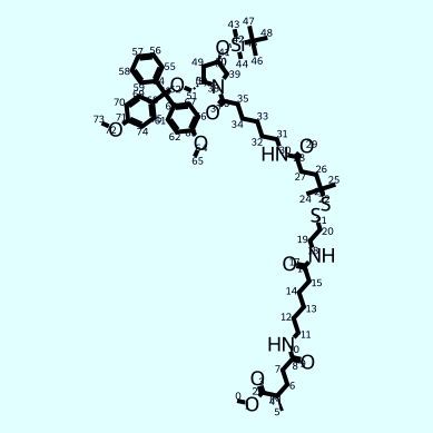 COC(=O)[C@H](C)CCC(=O)NCCCCCC(=O)NCCSSC(C)(C)CCC(=O)NCCCCCC(=O)N1C[C@H](O[Si](C)(C)C(C)(C)C)C[C@H]1COC(c1ccccc1)(c1ccc(OC)cc1)c1ccc(OC)cc1